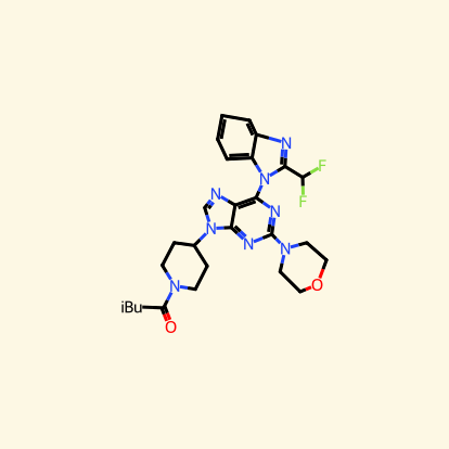 CCC(C)C(=O)N1CCC(n2cnc3c(-n4c(C(F)F)nc5ccccc54)nc(N4CCOCC4)nc32)CC1